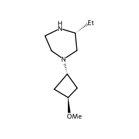 CC[C@@H]1CN([C@H]2C[C@H](OC)C2)CCN1